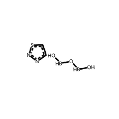 OBOBO.c1csnn1